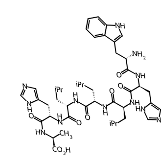 CC(C)C[C@H](NC(=O)[C@H](CC(C)C)NC(=O)[C@H](CC(C)C)NC(=O)[C@H](Cc1cnc[nH]1)NC(=O)[C@@H](N)Cc1c[nH]c2ccccc12)C(=O)N[C@@H](Cc1cnc[nH]1)C(=O)N[C@@H](C)C(=O)O